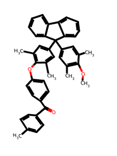 COc1c(C)cc(C2(c3cc(C)c(Oc4ccc(C(=O)c5ccc(C)cc5)cc4)c(C)c3)c3ccccc3-c3ccccc32)cc1C